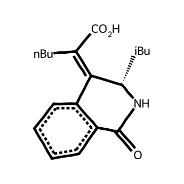 CCCCC(C(=O)O)=C1c2ccccc2C(=O)N[C@H]1C(C)CC